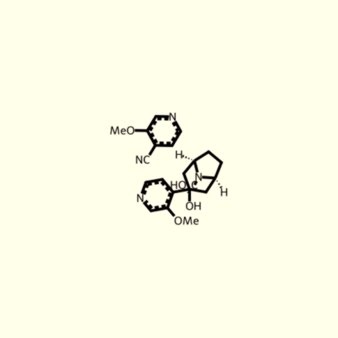 COc1cnccc1C#N.COc1cnccc1C1(O)C[C@H]2CC[C@@H](C1)N2C(=O)O